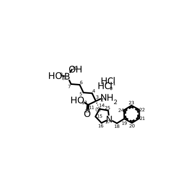 Cl.Cl.NC(CCCCB(O)O)(C(=O)O)[C@H]1CCN(Cc2ccccc2)C1